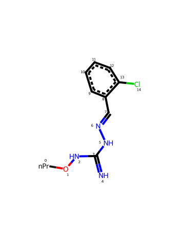 CCCONC(=N)NN=Cc1ccccc1Cl